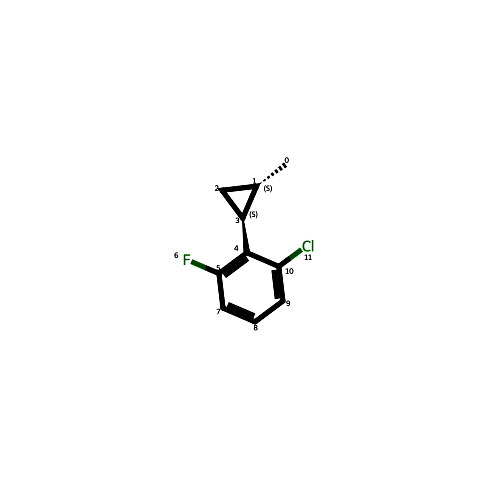 C[C@H]1C[C@@H]1c1c(F)cccc1Cl